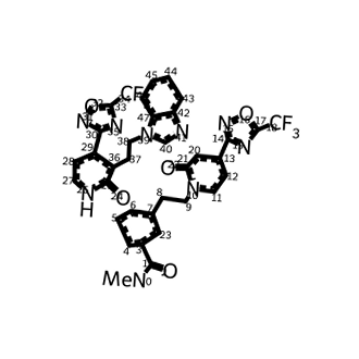 CNC(=O)c1cccc(CCn2ccc(-c3noc(C(F)(F)F)n3)cc2=O)c1.O=c1[nH]ccc(-c2noc(C(F)(F)F)n2)c1CCn1cnc2ccccc21